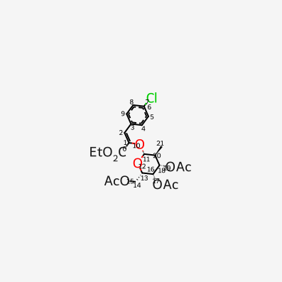 CCOC(=O)/C(=C/c1ccc(Cl)cc1)O[C@H]1O[C@@H](COC(C)=O)[C@@H](OC(C)=O)[C@@H](OC(C)=O)[C@@H]1C